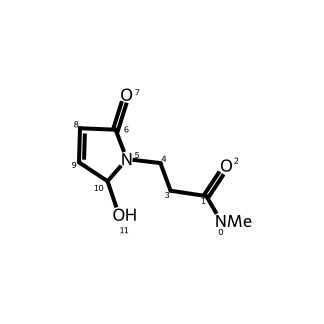 CNC(=O)CCN1C(=O)C=CC1O